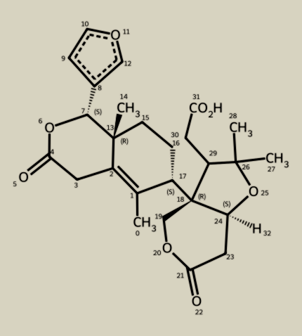 CC1=C2CC(=O)O[C@H](c3ccoc3)[C@]2(C)CC[C@@H]1[C@@]12COC(=O)C[C@@H]1OC(C)(C)C2CC(=O)O